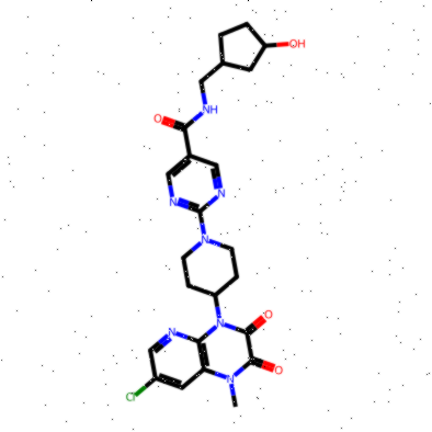 Cn1c(=O)c(=O)n(C2CCN(c3ncc(C(=O)NCC4CCC(O)C4)cn3)CC2)c2ncc(Cl)cc21